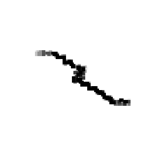 CCCCCCCCC=CCCCCCCCC(=O)OS(=O)(=O)OCCCCCCCCCCCCCCCC